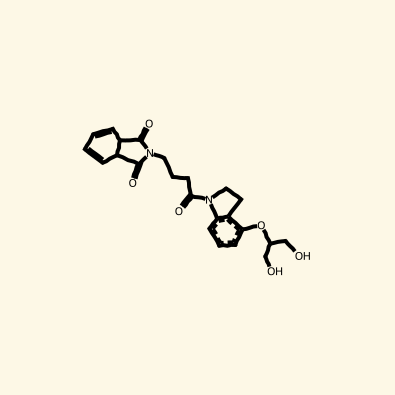 O=C1C2C=CC=CC2C(=O)N1CCCC(=O)N1CCc2c(OC(CO)CO)cccc21